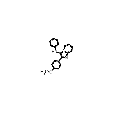 COc1ccc(-c2nc3ccccn3c2Nc2ccccc2)cc1